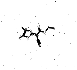 CCOC(=O)C(C#N)=C1SC(C)=C(C)S1